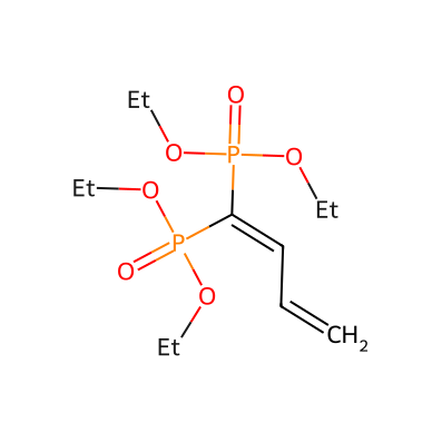 C=CC=C(P(=O)(OCC)OCC)P(=O)(OCC)OCC